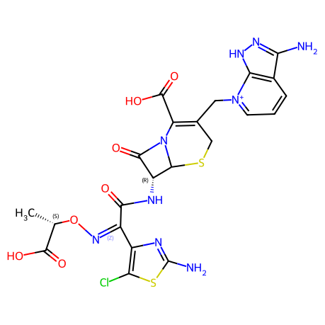 C[C@H](O/N=C(\C(=O)N[C@@H]1C(=O)N2C(C(=O)O)=C(C[n+]3cccc4c(N)n[nH]c43)CSC12)c1nc(N)sc1Cl)C(=O)O